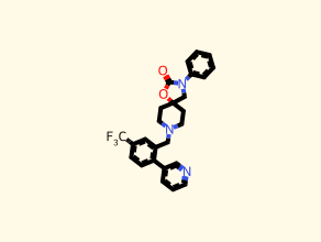 O=C1OC2(CCN(Cc3cc(C(F)(F)F)ccc3-c3cccnc3)CC2)CN1c1ccccc1